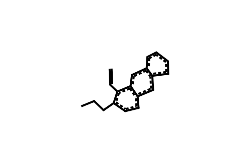 C=Cc1c(CCC)ccc2cc3ccccc3cc12